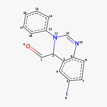 O=CC1c2cc(I)ccc2N=CN1c1ccccc1